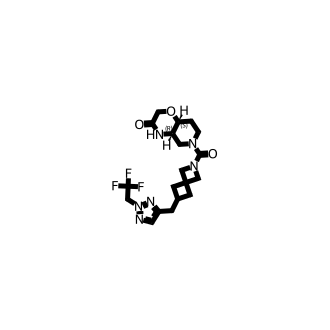 O=C1CO[C@H]2CCN(C(=O)N3CC4(CC(Cc5cnn(CC(F)(F)F)n5)C4)C3)C[C@H]2N1